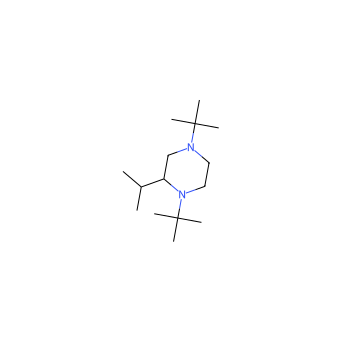 CC(C)C1CN(C(C)(C)C)CCN1C(C)(C)C